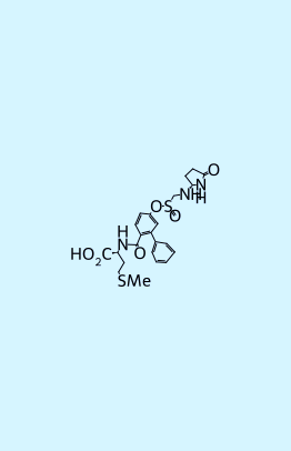 CSCC[C@H](NC(=O)c1ccc(OS(=O)CN[C@H]2CCC(=O)N2)cc1-c1ccccc1)C(=O)O